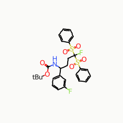 CC(C)(C)OC(=O)NC(CCC(F)(S(=O)(=O)c1ccccc1)S(=O)(=O)c1ccccc1)c1cccc(F)c1